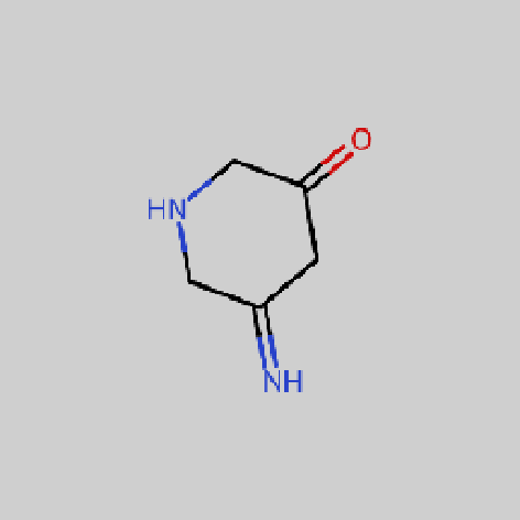 N=C1CNCC(=O)C1